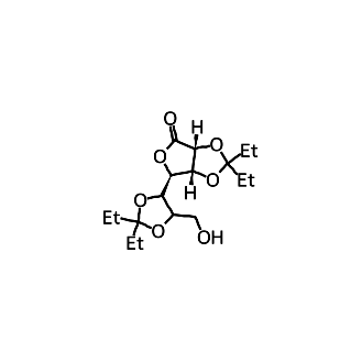 CCC1(CC)OC(CO)C([C@H]2OC(=O)[C@@H]3OC(CC)(CC)O[C@H]23)O1